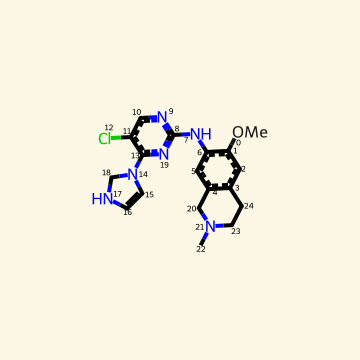 COc1cc2c(cc1Nc1ncc(Cl)c(N3C=CNC3)n1)CN(C)CC2